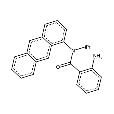 CC(C)N(C(=O)c1ccccc1N)c1cccc2cc3ccccc3cc12